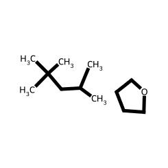 C1CCOC1.CC(C)CC(C)(C)C